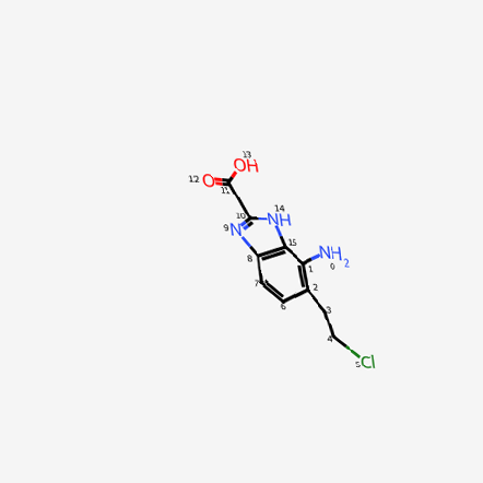 Nc1c(CCCl)ccc2nc(C(=O)O)[nH]c12